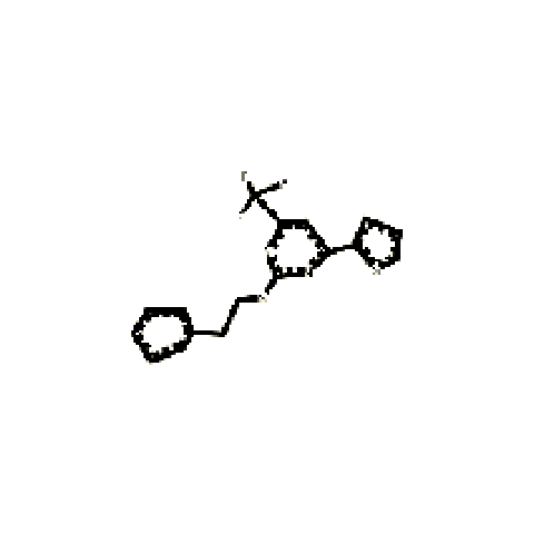 FC(F)(F)c1cc(-c2cccs2)nc(SCCc2ccccc2)n1